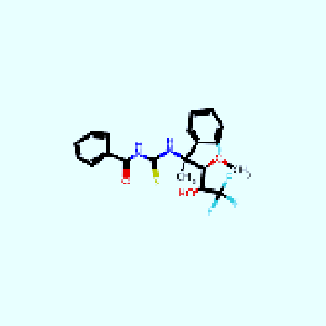 CO[C@@H]([C@H](O)C(F)(F)F)[C@](C)(NC(=S)NC(=O)c1ccccc1)c1ccccc1F